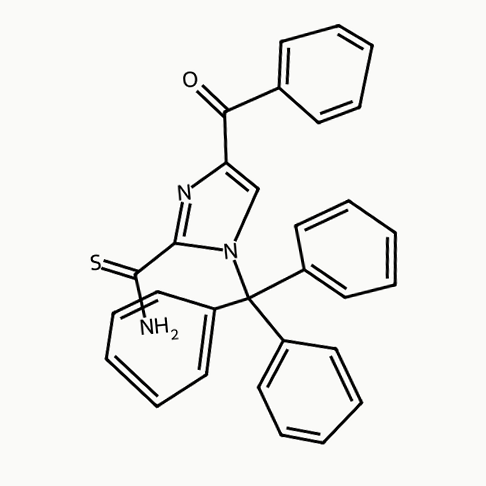 NC(=S)c1nc(C(=O)c2ccccc2)cn1C(c1ccccc1)(c1ccccc1)c1ccccc1